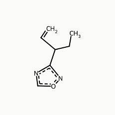 C=C[C](CC)c1ncon1